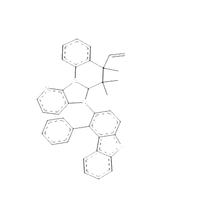 C=CC1(C)c2ccccc2N2c3ncccc3N(c3ccc4oc5ccccc5c4c3-c3ccccc3)C2C1(C)C